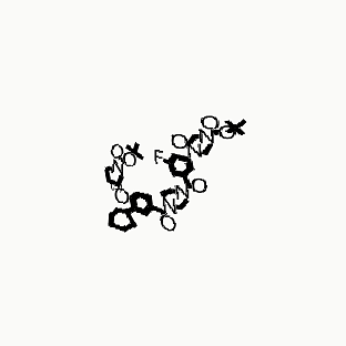 CC(C)(C)OC(=O)N1CCN(c2cc(F)cc(C(=O)N3CCN(C(=O)c4ccc(O[C@H]5CCN(C(=O)OC(C)(C)C)C5)c(C5CCCCC5)c4)CC3)c2)C(=O)C1